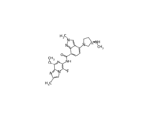 CN[C@@H]1CCN(c2ccc(C(=O)Nc3nc(OC)c4nc(C)cn4c3F)c3nn(C)cc23)C1